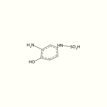 Nc1cc(NS(=O)(=O)O)ccc1O